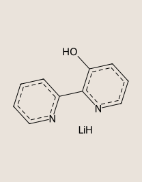 Oc1cccnc1-c1ccccn1.[LiH]